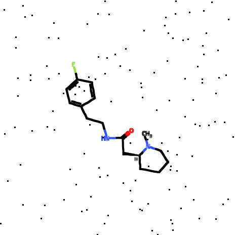 CN1CCCC[C@H]1CC(=O)NCCc1ccc(F)cc1